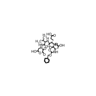 CC(C)C(NC(=O)[C@H](CCC(=O)O)NC(=O)[C@H](CC(=O)O)NC(=O)OCc1ccccc1)C(=O)NN(CC(=O)O)C(=O)C=O